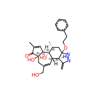 C=C1N=NC2(OCCc3ccccc3)C[C@@H](C)[C@@]3(O)[C@@H](C=C(CO)C[C@]4(O)C(=O)C(C)=C[C@@H]34)[C@H]12